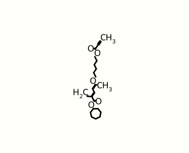 C=C/C(=C\C=C(/C)OCCCCCCOC(=O)C#CC)C(=O)OC1CCCCCC1